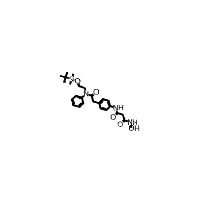 CC(C)(C)[Si](C)(C)OCCN(C(=O)Cc1ccc(NC(=O)CC(=O)NO)cc1)c1ccccc1